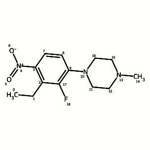 CCc1c([N+](=O)[O-])ccc(N2CCN(C)CC2)c1F